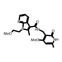 COCCn1c(C)c(C(=O)NCc2c(OC)cc(C)[nH]c2=O)c2cccnc21